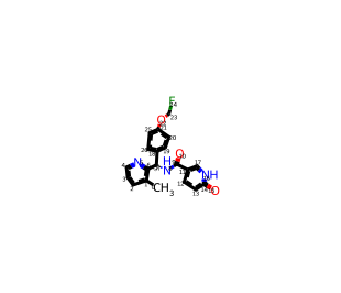 Cc1cccnc1[C@@H](NC(=O)c1ccc(=O)[nH]c1)c1ccc(OCF)cc1